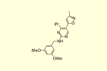 COc1cc(CNc2ncc(-c3cc(C)no3)c(C(C)C)n2)cc(OC)c1